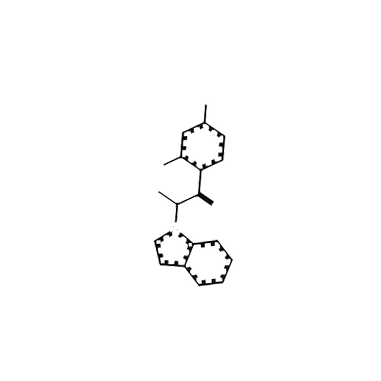 CC(C(=O)c1ccc(F)cc1F)n1ccc2ccccc21